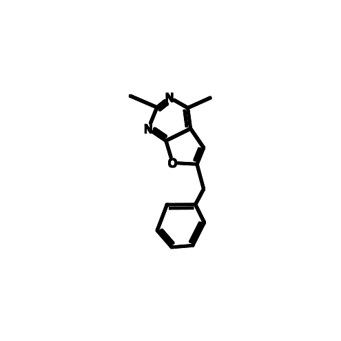 Cc1nc(C)c2cc(Cc3ccccc3)oc2n1